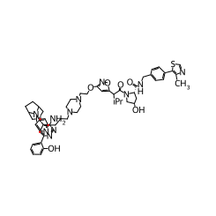 Cc1ncsc1-c1ccc(CNC(=O)[C@@H]2C[C@@H](O)CN2C(=O)C(c2cc(OCCN3CCN(CCCc4cc(N5C6CCC5CN(c5cc(-c7ccccc7O)nnc5N)C6)ccn4)CC3)no2)C(C)C)cc1